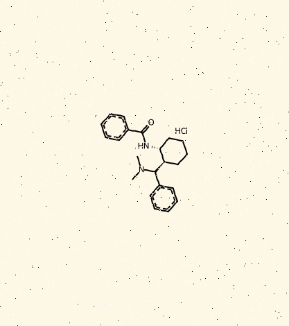 CN(C)C(c1ccccc1)[C@@H]1CCCC[C@H]1NC(=O)c1ccccc1.Cl